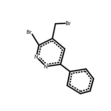 BrCc1cc(-c2ccccc2)nnc1Br